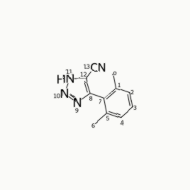 Cc1cccc(C)c1-c1nn[nH]c1C#N